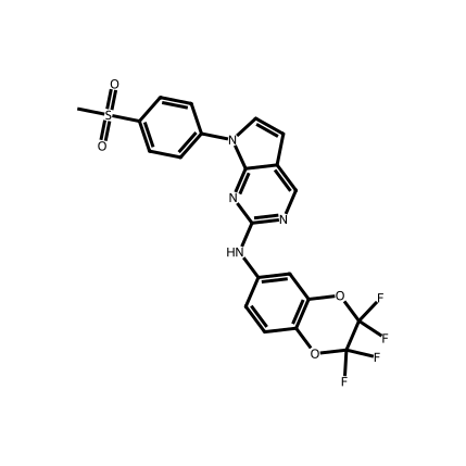 CS(=O)(=O)c1ccc(-n2ccc3cnc(Nc4ccc5c(c4)OC(F)(F)C(F)(F)O5)nc32)cc1